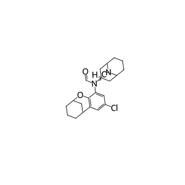 CN1C2CCCC1CC(N(C=O)c1cc(Cl)cc3c1OC1CCCC3C1)C2